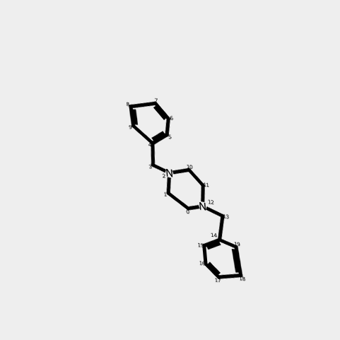 [CH]1CN(Cc2ccccc2)CCN1Cc1ccccc1